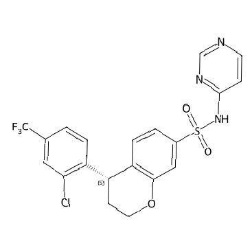 O=S(=O)(Nc1ccncn1)c1ccc2c(c1)OCC[C@@H]2c1ccc(C(F)(F)F)cc1Cl